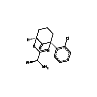 CC(C)[C@H](N)C1=N[C@]2(c3ccccc3Cl)CCC[C@H](O1)C2=O